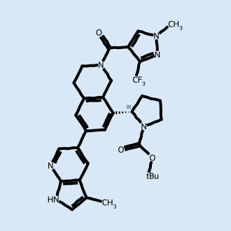 Cc1c[nH]c2ncc(-c3cc4c(c([C@@H]5CCCN5C(=O)OC(C)(C)C)c3)CN(C(=O)c3cn(C)nc3C(F)(F)F)CC4)cc12